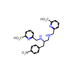 O=C(O)c1cccc(CNCC(Cc2ccc([N+](=O)[O-])cc2)NCc2cccc(C(=O)O)n2)n1